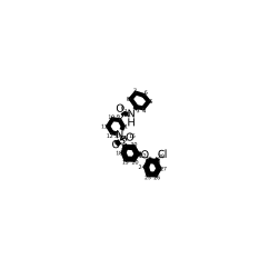 O=C(NC1CCCCC1)[C@H]1CCCN(S(=O)(=O)c2cccc(Oc3ccccc3Cl)c2)C1